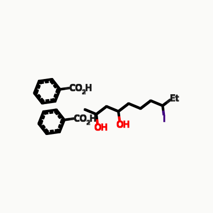 CCC(I)CCCC(O)CC(C)O.O=C(O)c1ccccc1.O=C(O)c1ccccc1